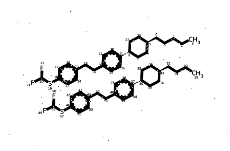 CCCCC[C@H]1CC[C@H](c2ccc(CCc3ccc(SC(F)F)cc3)cc2)CC1.CCCC[C@H]1CC[C@H](c2ccc(CCc3ccc(SC(F)F)cc3)cc2)CC1